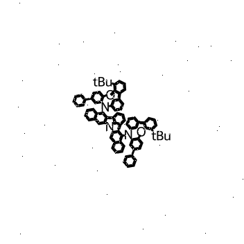 Cc1ccc(-c2ccccc2)cc1N(c1cccc2c1oc1c(C(C)(C)C)cccc12)c1c2ccccc2cc2c1c1cccc3c4c(N(c5cc(-c6ccccc6)ccc5C)c5cccc6c5oc5c(C(C)(C)C)cccc56)c5ccccc5cc4n2c13